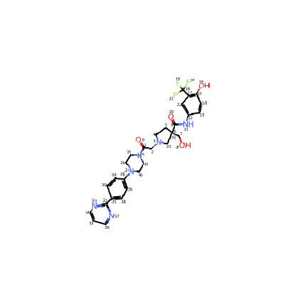 O=C(CN1CC[C@](CO)(C(=O)Nc2ccc(O)c(C(F)(F)F)c2)C1)N1CCN(c2ccc(-c3ncccn3)cc2)CC1